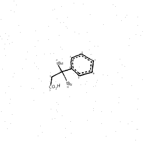 CC(C)(C)C(CC(=O)O)(c1ccccc1)C(C)(C)C